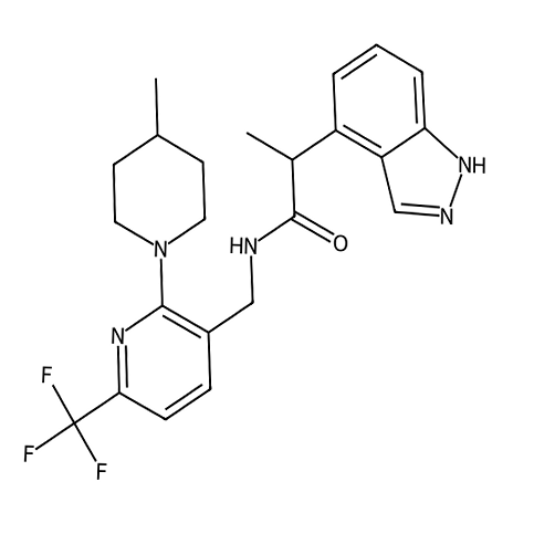 CC1CCN(c2nc(C(F)(F)F)ccc2CNC(=O)C(C)c2cccc3[nH]ncc23)CC1